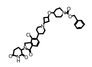 O=C1CCC(N2Cc3c(ccc(C4CCN(C5CC(OC6CCN(C(=O)OCc7ccccc7)CC6)C5)CC4)c3Cl)C2=O)C(=O)N1